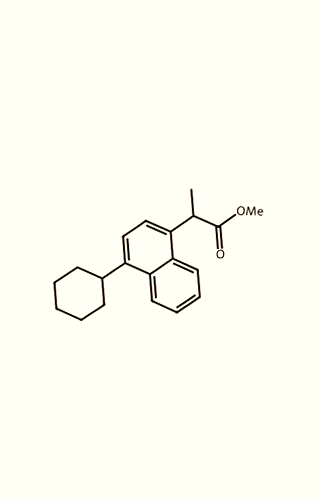 COC(=O)C(C)c1ccc(C2CCCCC2)c2ccccc12